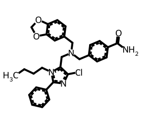 CCCCn1c(-c2ccccc2)nc(Cl)c1CN(Cc1ccc(C(N)=O)cc1)Cc1ccc2c(c1)OCO2